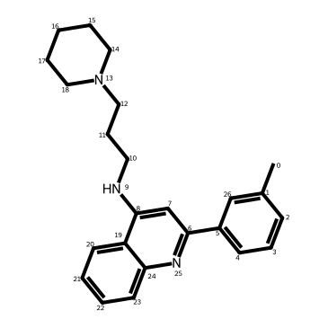 Cc1cccc(-c2cc(NCCCN3CCCCC3)c3ccccc3n2)c1